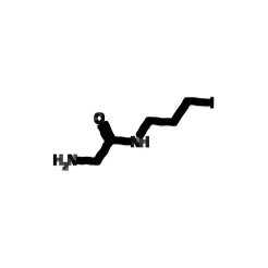 NCC(=O)NCCCI